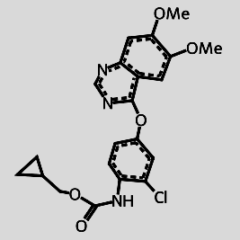 COc1cc2ncnc(Oc3ccc(NC(=O)OCC4CC4)c(Cl)c3)c2cc1OC